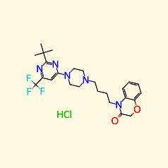 CC(C)(C)c1nc(N2CCN(CCCCN3C(=O)COc4ccccc43)CC2)cc(C(F)(F)F)n1.Cl